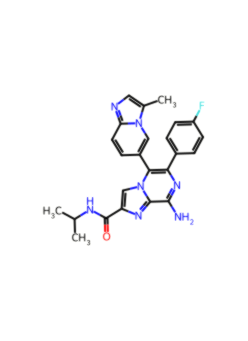 Cc1cnc2ccc(-c3c(-c4ccc(F)cc4)nc(N)c4nc(C(=O)NC(C)C)cn34)cn12